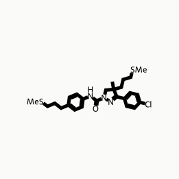 CSCCCc1ccc(NC(=O)N2CC(C)(CCCSC)C(c3ccc(Cl)cc3)=N2)cc1